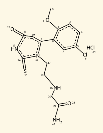 COc1ccc(Cl)cc1-c1cc(=O)[nH]c(=S)n1CCNCC(N)=O.Cl